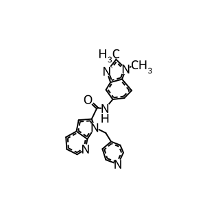 Cc1nc2cc(NC(=O)c3cc4cccnc4n3Cc3ccncc3)ccc2n1C